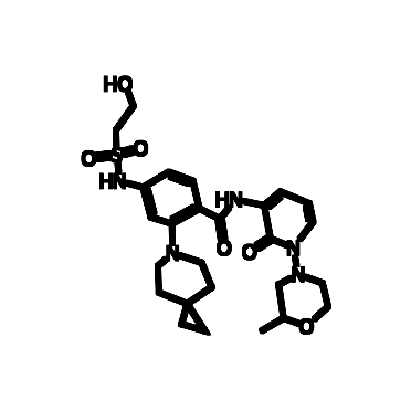 CC1CN(n2cccc(NC(=O)c3ccc(NS(=O)(=O)CCO)cc3N3CCC4(CC3)CC4)c2=O)CCO1